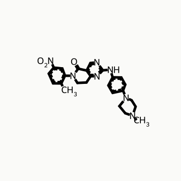 Cc1ccc([N+](=O)[O-])cc1N1CCc2nc(Nc3ccc(N4CCN(C)CC4)cc3)ncc2C1=O